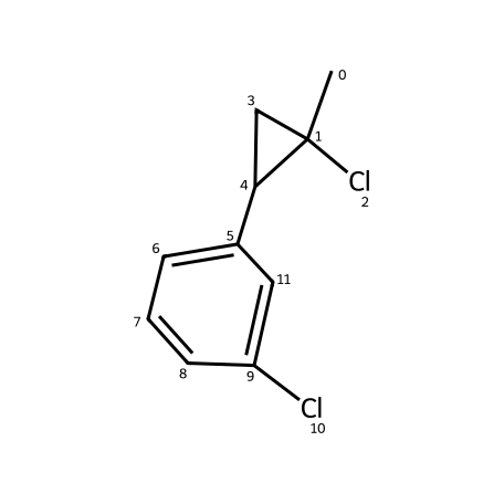 CC1(Cl)CC1c1cccc(Cl)c1